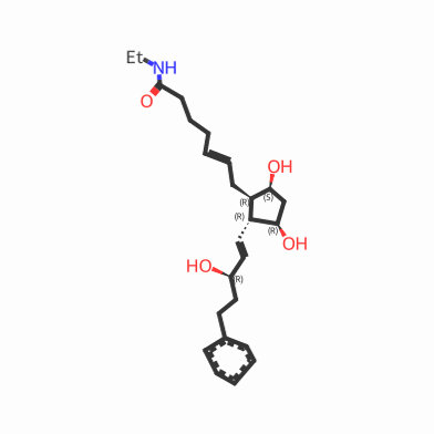 CCNC(=O)CCCC=CC[C@@H]1[C@@H](C=C[C@H](O)CCc2ccccc2)[C@H](O)C[C@@H]1O